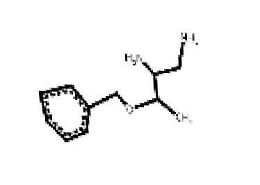 CC(OCc1ccccc1)C(N)CN